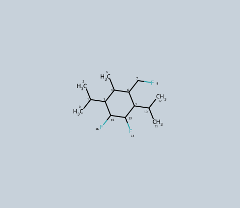 CC(C)C1C(C)C(CF)C(C(C)C)C(F)C1F